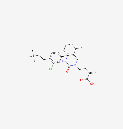 C=C(CCN1C=C2C(C)CCC[C@@]2(c2ccc(CCC(C)(C)C)c(Cl)c2)NC1=O)C(=O)O